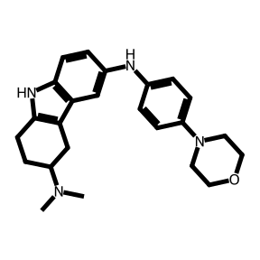 CN(C)C1CCc2[nH]c3ccc(Nc4ccc(N5CCOCC5)cc4)cc3c2C1